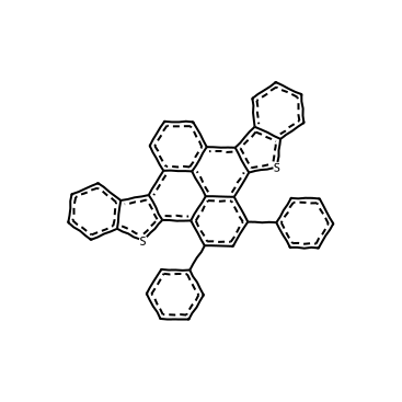 c1ccc(-c2cc(-c3ccccc3)c3c4sc5ccccc5c4c4cccc5c6c7ccccc7sc6c2c3c54)cc1